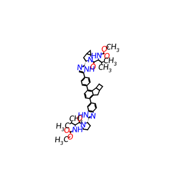 COC(=O)N[C@H](C(=O)N1CCC[C@H]1c1nc2ccc(-c3ccc(-c4ccc(-c5cnc([C@@H]6CC7CC7N6C(=O)[C@@H](NC(=O)OC)C(C)C)[nH]5)cc4)c4c3CC3CCC43)cc2[nH]1)C(C)C